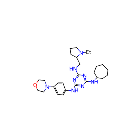 CCN1CCCC1CNc1nc(Nc2ccc(N3CCOCC3)cc2)nc(NC2CCCCCC2)n1